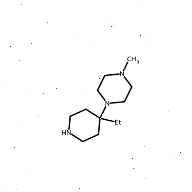 CCC1(N2CCN(C)CC2)CCNCC1